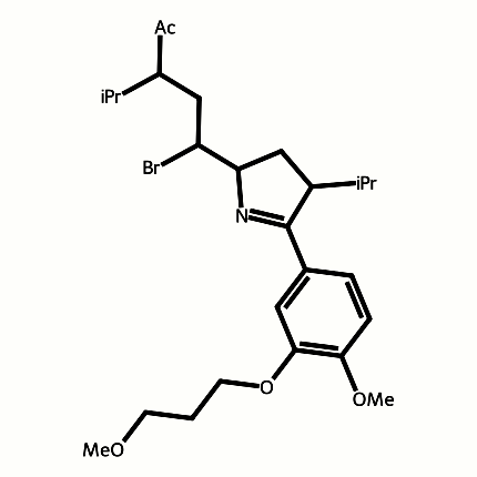 COCCCOc1cc(C2=NC(C(Br)CC(C(C)=O)C(C)C)CC2C(C)C)ccc1OC